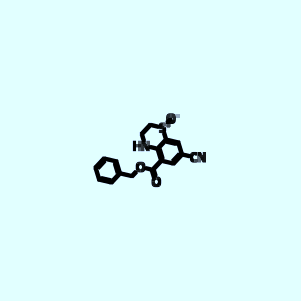 N#Cc1cc(C(=O)OCc2ccccc2)c2c(c1)[S+]([O-])CCN2